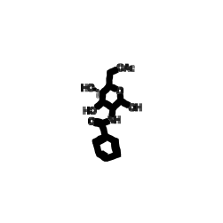 CC(=O)OCC1OC(O)C(NC(=O)c2ccccc2)C(O)[C@@H]1O